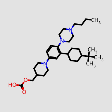 CCCCN1CCN(c2ccc(N3CCC(COC(=O)O)CC3)cc2C2CCC(C(C)(C)C)CC2)CC1